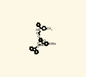 COc1ccc(C(NC(=O)OCC2c3ccccc3-c3ccccc32)c2ccc(OCC(=O)CNC(c3ccccc3)C3CCC(C)CC3)cc2)c(OC)c1